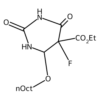 CCCCCCCCOC1NC(=O)NC(=O)C1(F)C(=O)OCC